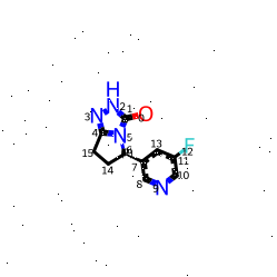 O=c1[nH]nc2n1[C@@H](c1cncc(F)c1)CC2